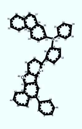 c1ccc(-c2cc3c4cc(-c5cccc(N(c6ccccc6)c6ccc7c(ccc8ccccc87)c6)c5)ccc4oc3c3ccccc23)cc1